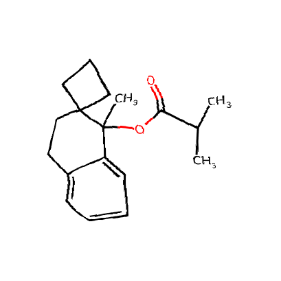 CC(C)C(=O)OC1(C)c2ccccc2CCC12CCC2